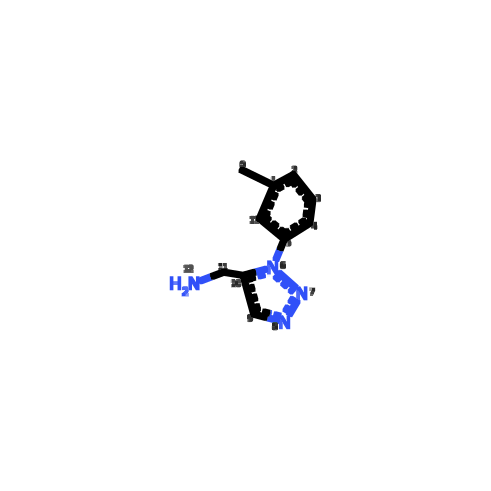 Cc1cccc(-n2nncc2CN)c1